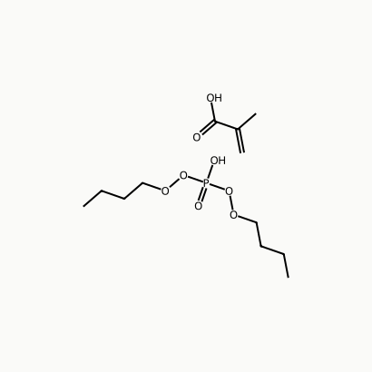 C=C(C)C(=O)O.CCCCOOP(=O)(O)OOCCCC